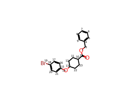 O=C(OCc1ccccc1)C1CCC(Oc2ccc(Br)cc2)CC1